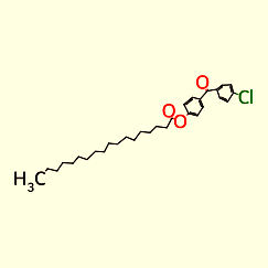 CCCCCCCCCCCCCCCCCC(=O)Oc1ccc(C(=O)c2ccc(Cl)cc2)cc1